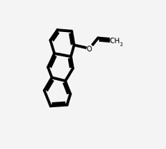 C=COc1cccc2cc3ccccc3cc12